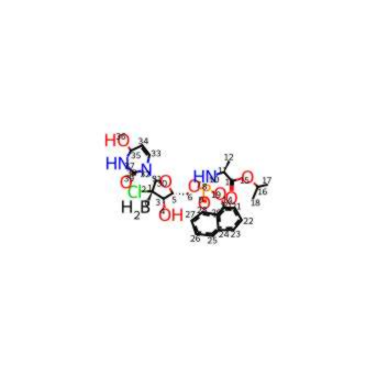 B[C@]1(Cl)[C@H](O)[C@@H](CO[P@@](=O)(N[C@@H](C)C(=O)OC(C)C)Oc2cccc3ccccc23)O[C@H]1N1C=CC(O)NC1=O